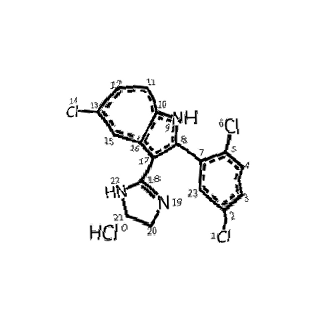 Cl.Clc1ccc(Cl)c(-c2[nH]c3ccc(Cl)cc3c2C2=NCCN2)c1